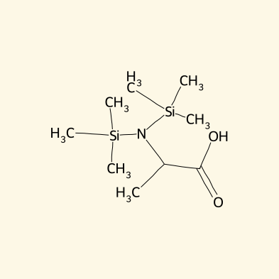 CC(C(=O)O)N([Si](C)(C)C)[Si](C)(C)C